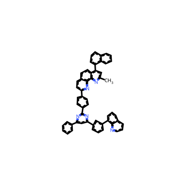 Cc1cc(-c2cccc3ccccc23)c2ccc3ccc(-c4ccc(-c5nc(-c6ccccc6)cc(-c6cccc(-c7cccc8cccnc78)c6)n5)cc4)nc3c2n1